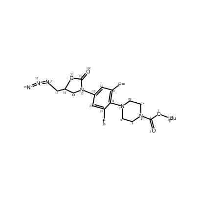 CC(C)(C)OC(=O)N1CCN(c2c(F)cc(N3CC(CN=[N+]=[N-])OC3=O)cc2F)CC1